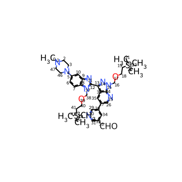 CN1CCN(c2ccc3c(c2)nc(-c2nn(COCC[Si](C)(C)C)c4ncc(-c5cncc(C=O)c5)cc24)n3COCC[Si](C)(C)C)CC1